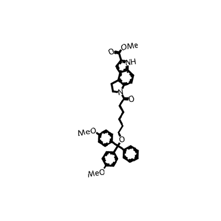 COC(=O)c1cc2c3c(ccc2[nH]1)N(C(=O)CCCCCOC(c1ccccc1)(c1ccc(OC)cc1)c1ccc(OC)cc1)CC3